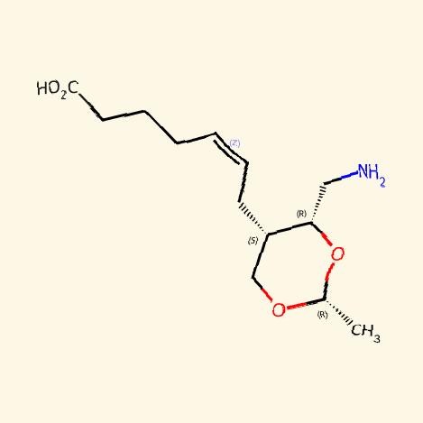 C[C@@H]1OC[C@H](C/C=C\CCCC(=O)O)[C@H](CN)O1